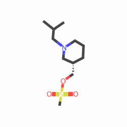 C[C](C)CN1CCC[C@H](COS(C)(=O)=O)C1